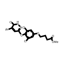 COC(=O)CCCOc1cc(Cl)c(OC2=NNC(Cl)C(C(C)C)=C2)c(Cl)c1